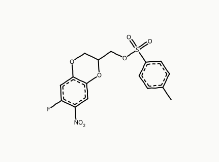 Cc1ccc(S(=O)(=O)OCC2COc3cc(F)c([N+](=O)[O-])cc3O2)cc1